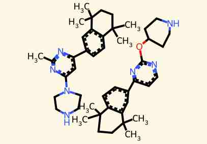 CC1(C)CCC(C)(C)c2cc(-c3ccnc(OC4CCNCC4)n3)ccc21.Cc1nc(-c2ccc3c(c2)C(C)(C)CCC3(C)C)cc(N2CCNCC2)n1